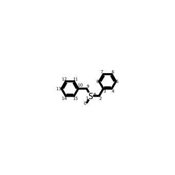 C[S+](Cc1ccccc1)Cc1ccccc1